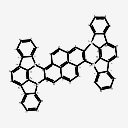 c1ccc2c(c1)B1c3cc4ccc5c6c(ccc(c3B3c7ccccc7-c7ccc-2c1c73)c46)cc1c5n2c3ccccc3c3ccc4c5ccccc5n1c4c32